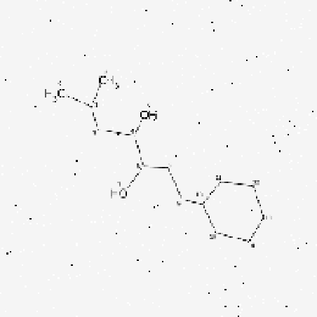 CC(C)CC(O)C(O)CCC1CCCCC1